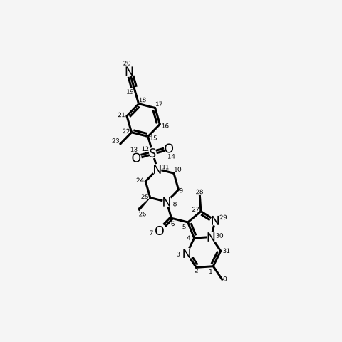 Cc1cnc2c(C(=O)N3CCN(S(=O)(=O)c4ccc(C#N)cc4C)C[C@@H]3C)c(C)nn2c1